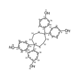 Oc1ccc(C2(c3ccc(O)cc3)CCCC(c3ccc(O)cc3)(c3ccc(O)cc3)CCC2)cc1